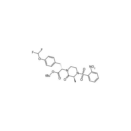 C[C@H]1C(=O)N([C@@H](Cc2ccc(OC(F)F)cc2)C(=O)OC(C)(C)C)CCN1S(=O)(=O)c1ccccc1[N+](=O)[O-]